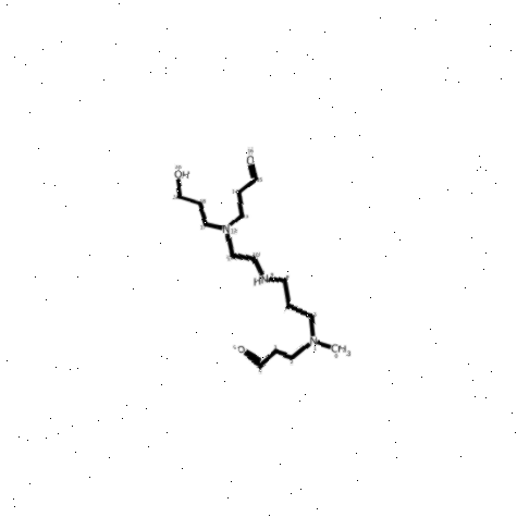 CN(CCC=O)CCCNCCN(CCC=O)CCCO